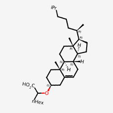 CCCCCCC(O[C@H]1CC[C@@]2(C)C(=CC[C@H]3[C@@H]4CC[C@H]([C@H](C)CCCC(C)C)[C@@]4(C)CC[C@@H]32)C1)C(=O)O